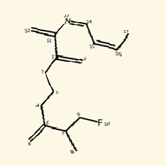 C=C(CCCC(=C)C(C)CF)C(=C)/N=C\C=C/C